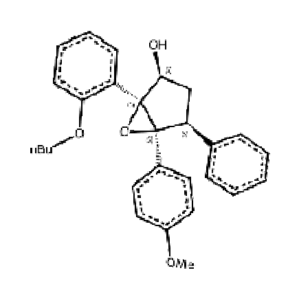 CCCCOc1ccccc1[C@@]12O[C@]1(c1ccc(OC)cc1)[C@H](c1ccccc1)C[C@@H]2O